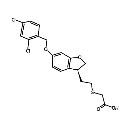 O=C(O)CSCC[C@@H]1COc2cc(OCc3ccc(Cl)cc3Cl)ccc21